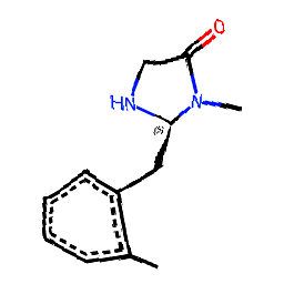 Cc1ccccc1C[C@H]1NCC(=O)N1C